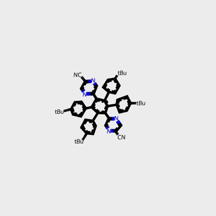 CC(C)(C)c1ccc(-c2c(-c3ccc(C(C)(C)C)cc3)c(-c3cnc(C#N)cn3)c(-c3ccc(C(C)(C)C)cc3)c(-c3ccc(C(C)(C)C)cc3)c2-c2cnc(C#N)cn2)cc1